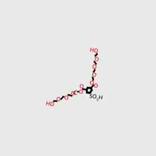 O=C(OCCOCCOCCOCCO)c1cc(C(=O)OCCOCCOCCOCCO)cc(S(=O)(=O)O)c1